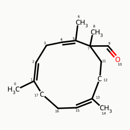 CC1=CCC=C(C)C(C)(C=O)CCC(C)=CCC1